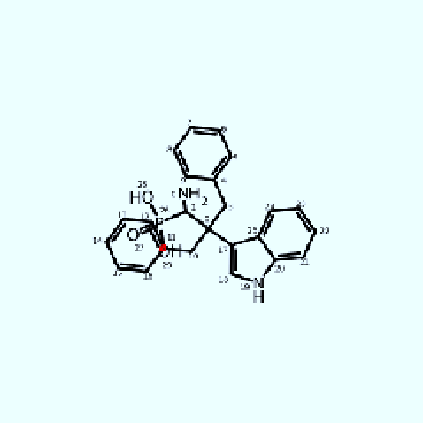 NC(C(Cc1ccccc1)(Cc1ccccc1)c1c[nH]c2ccccc12)P(=O)(O)O